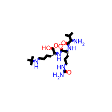 CC(C)C(N)C(=O)N[C@@H](CCCNC(N)=O)C(=O)N[C@H](CCCCNC(C)(C)C)C(=O)O